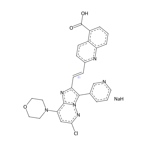 O=C(O)c1cccc2nc(/C=C/c3nc4c(N5CCOCC5)cc(Cl)nn4c3-c3cccnc3)ccc12.[NaH]